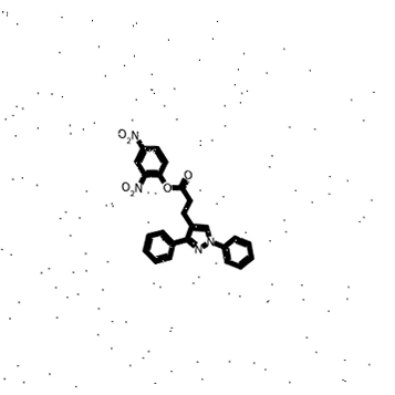 O=C(CCc1cn(-c2ccccc2)nc1-c1ccccc1)Oc1ccc([N+](=O)[O-])cc1[N+](=O)[O-]